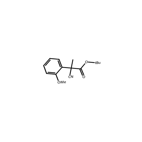 COc1ccccc1C(C)(C#N)C(=O)OC(C)(C)C